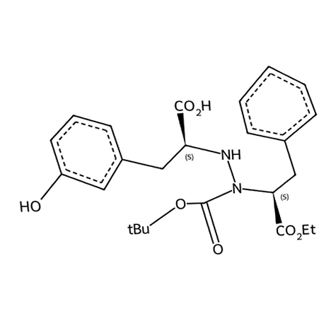 CCOC(=O)[C@H](Cc1ccccc1)N(N[C@@H](Cc1cccc(O)c1)C(=O)O)C(=O)OC(C)(C)C